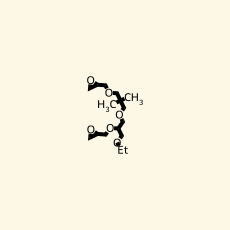 CCOCC(COCC(C)(C)COCC1CO1)OCC1CO1